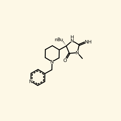 CCCC[C@]1(C2CCCN(Cc3ccncc3)C2)NC(=N)N(C)C1=O